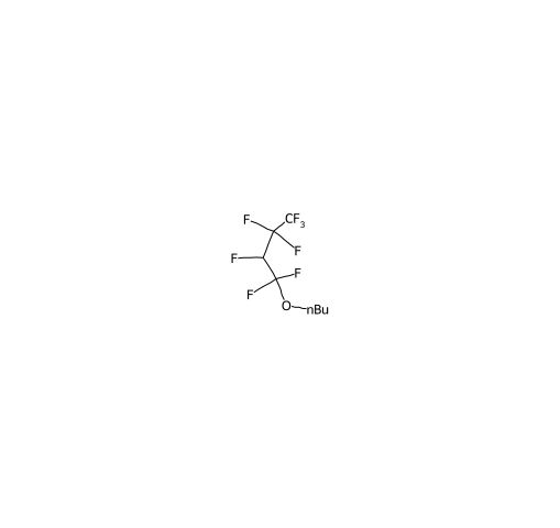 [CH2]CCCOC(F)(F)C(F)C(F)(F)C(F)(F)F